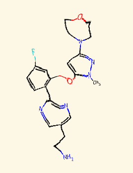 Cn1nc(N2CCOCC2)cc1Oc1cc(F)ccc1-c1ncc(CCN)cn1